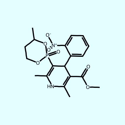 COC(=O)C1=C(C)NC(C)=C(P2(=O)OCCC(C)O2)C1c1ccccc1[N+](=O)[O-]